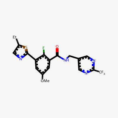 CCc1cnc(-c2cc(OC)cc(C(=O)NCc3cnc(C(F)(F)F)nc3)c2F)s1